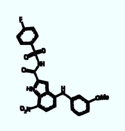 COc1cccc(Nc2ccc([N+](=O)[O-])c3[nH]c(C(=O)NS(=O)(=O)c4ccc(F)cc4)cc23)c1